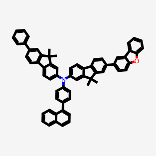 CC1(C)c2cc(-c3ccccc3)ccc2-c2ccc(N(c3ccc(-c4cccc5ccccc45)cc3)c3ccc4c(c3)C(C)(C)c3cc(-c5ccc6oc7ccccc7c6c5)ccc3-4)cc21